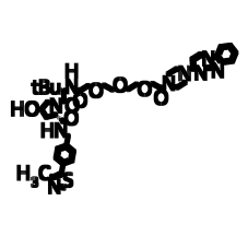 Cc1ncsc1-c1ccc(CNC(=O)[C@@H]2C[C@@H](O)CN2C(=O)[C@@H](NC(=O)COCCOCCOCC(=O)N2CCN(c3ccn4c(n3)nc3ccccc34)CC2)C(C)(C)C)cc1